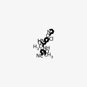 C[C@H](Nc1ccc(C#N)n(C)c1=O)c1cc2cc(Cl)c(OCc3ccccn3)cc2[nH]c1=O